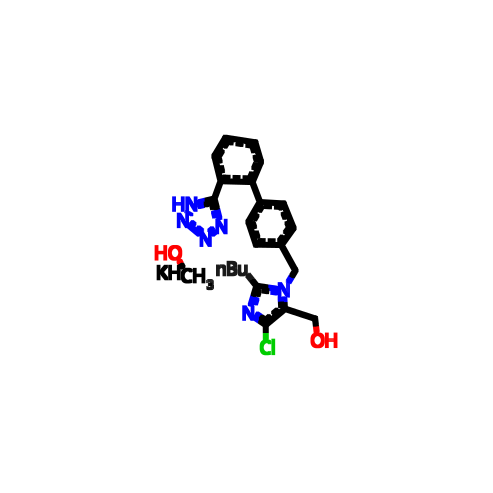 CCCCc1nc(Cl)c(CO)n1Cc1ccc(-c2ccccc2-c2nnn[nH]2)cc1.CO.[KH]